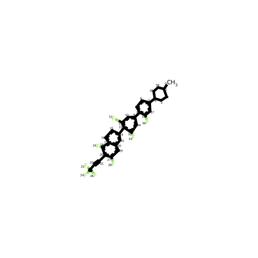 CC1CCC(c2ccc(-c3cc(F)c(-c4ccc5c(F)c(C#CC(F)(F)F)c(F)cc5c4)c(F)c3)c(F)c2)CC1